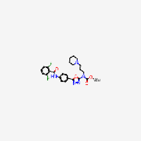 CC(C)(C)OC(=O)N(CCCN1CCCCC1)c1nnc(-c2ccc(NC(=O)c3c(F)cccc3F)cc2)o1